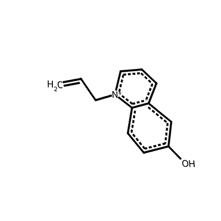 C=CC[n+]1cccc2cc(O)ccc21